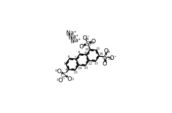 O=S(=O)([O-])c1ccc2cc3c(S(=O)(=O)[O-])cc(S(=O)(=O)[O-])cc3cc2c1.[Na+].[Na+].[Na+]